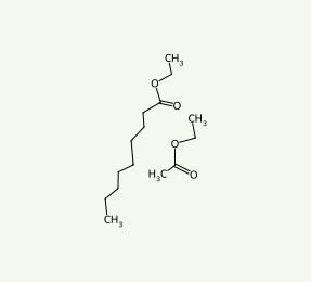 CCCCCCCCC(=O)OCC.CCOC(C)=O